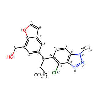 CCOC(=O)CC(c1cc(CO)c2occc2c1)c1ccc2c(nnn2C)c1Cl